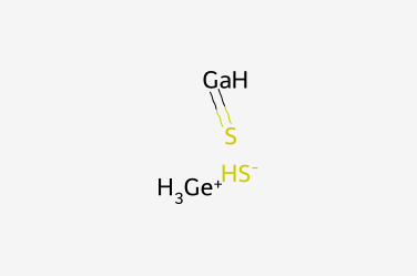 [GeH3+].[SH-].[S]=[GaH]